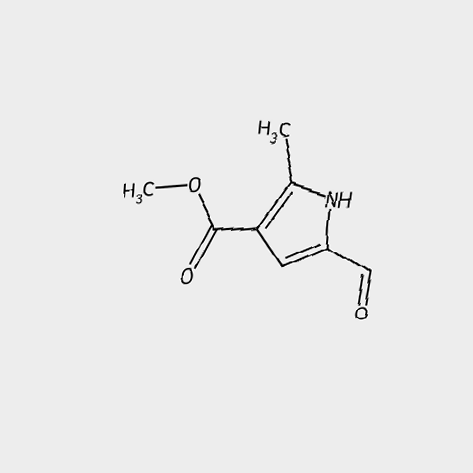 COC(=O)c1cc(C=O)[nH]c1C